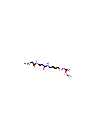 COCC(=O)NCCC(=O)NCCCCONC(=O)OC(C)(C)C